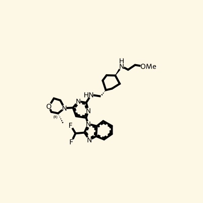 COCCN[C@H]1CC[C@H](CNc2nc(N3CCOC[C@H]3C)cc(-n3c(C(F)F)nc4ccccc43)n2)CC1